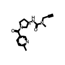 C#CCN(C)C(=O)N[C@@H]1CCN(C(=O)c2ccc(C)nc2)C1